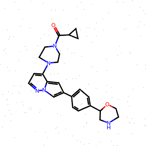 O=C(C1CC1)N1CCN(c2ccnn3cc(-c4ccc(C5CNCCO5)cc4)cc23)CC1